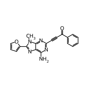 Cn1c(-c2ccco2)nc2c(N)nc(C#CC(=O)c3ccccc3)nc21